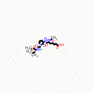 COC(=O)[C@@H](CC(C)C)NC(=O)Cn1cccc(NC(=O)C(CC/C=C/C(=O)O)NC(C)=O)c1=O